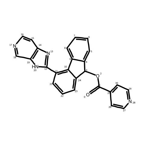 O=C(OC1c2ccccc2-c2c(-c3nc4ccncc4[nH]3)cccc21)c1ccncc1